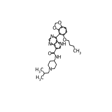 CCCCOc1ccc2c(c1-c1ncnc3c(C(=O)NC4CCN(C[C](C)C)CC4)c[nH]c13)OCO2